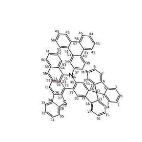 c1ccc2c(c1)-c1ccccc1C21c2ccccc2-c2cc(-c3cccc4c3sc3ccccc34)c(N(c3ccc4c5ccccc5c5ccccc5c4c3)c3cccc4ccccc34)cc21